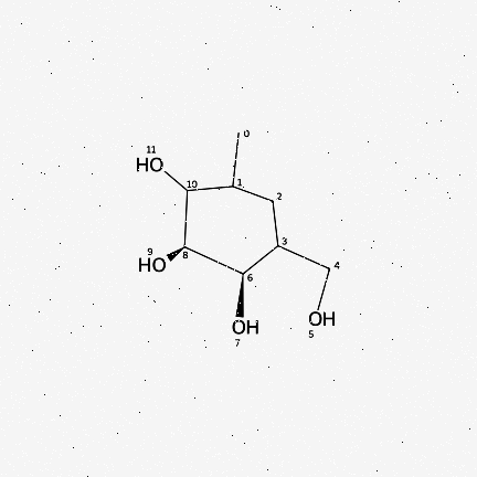 CC1CC(CO)[C@@H](O)[C@@H](O)C1O